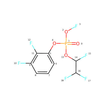 O=P(OF)(Oc1cccc(F)c1F)OC(F)C(F)F